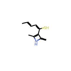 C=C1NC(C)=C1/C(S)=C\C=C\C